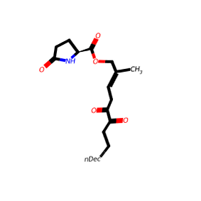 CCCCCCCCCCCCC(=O)C(=O)CC=C(C)COC(=O)[C@@H]1CCC(=O)N1